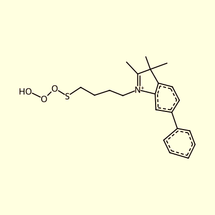 CC1=[N+](CCCCSOOO)c2cc(-c3ccccc3)ccc2C1(C)C